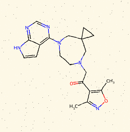 Cc1noc(C)c1C(=O)CN1CCN(c2ncnc3[nH]ccc23)CC2(CC2)C1